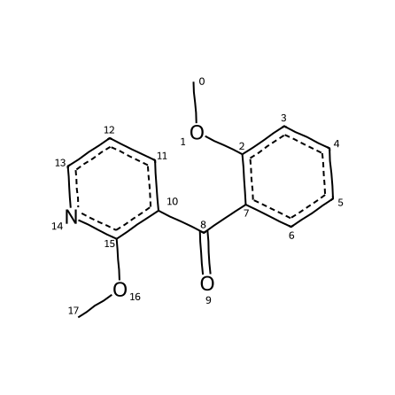 COc1ccccc1C(=O)c1cccnc1OC